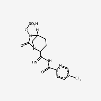 N=C(NC(=O)c1ncc(C(F)(F)F)cn1)[C@@H]1CC[C@@H]2CN1C(=O)N2OS(=O)(=O)O